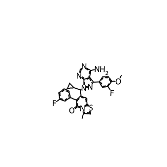 COc1ccc(-c2nn(C(c3cc4scc(C)n4c(=O)c3-c3cccc(F)c3)C3CC3)c3ncnc(N)c23)cc1F